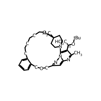 Cc1nc2cc3nn2c(c1[C@H](OC(C)(C)C)C(=O)O)N1CCC(C)(CC1)OCCCCCCc1ccccc1COC3